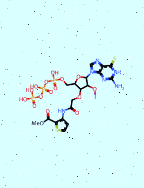 COC(=O)c1sccc1NC(=O)COC1C(COP(=O)(O)OP(=O)(O)OP(=O)(O)O)OC(n2cnc3c(=S)[nH]c(N)nc32)C1OI